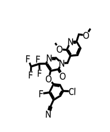 COCc1ccc(Cn2cnc(C(F)(F)C(F)F)c(Oc3cc(Cl)cc(C#N)c3F)c2=O)c(OC)n1